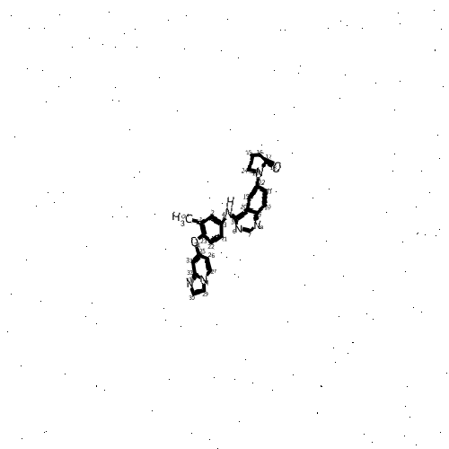 Cc1cc(Nc2ncnc3ccc(N4CCCC4=O)cc23)ccc1Oc1ccn2ccnc2c1